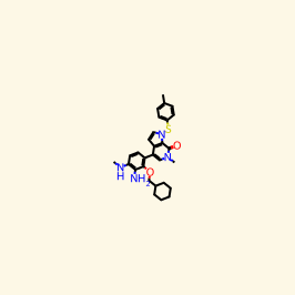 CNc1ccc(-c2cn(C)c(=O)c3c2ccn3Sc2ccc(C)cc2)c(OCC2CCCCC2)c1N